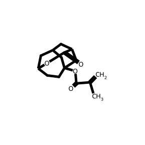 C=C(C)C(=O)OC12CCC3CC(CC(C1)C(=O)O3)C2